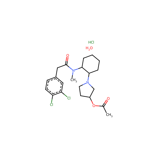 CC(=O)OC1CCN(C2CCCCC2N(C)C(=O)Cc2ccc(Cl)c(Cl)c2)C1.Cl.O